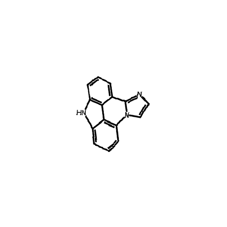 c1cc2[nH]c3cccc4c3c2c(c1)c1nccn41